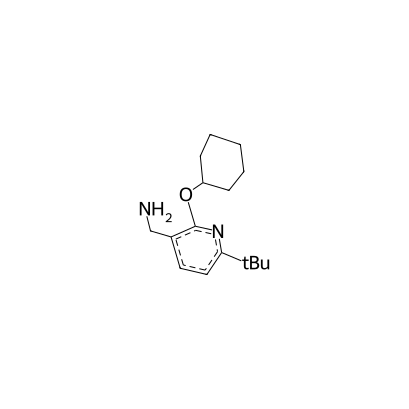 CC(C)(C)c1ccc(CN)c(OC2CCCCC2)n1